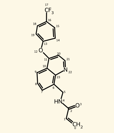 C=CC(=O)NCc1cccc2c(Oc3ccc(C(F)(F)F)cc3)ccnc12